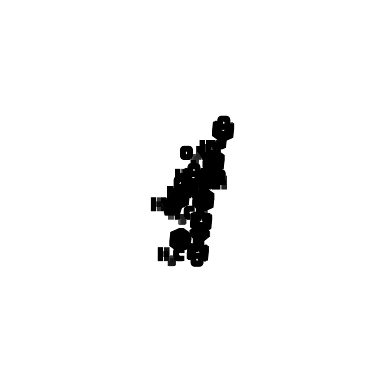 Cc1ccccc1[C@@H]1COCCN1C1CC2(CCN(c3ccc(C(=O)NS(=O)(=O)c4ccc(NCC5CCOCC5)c([N+](=O)[O-])c4)c(N4c5cc6cc[nH]c6nc5O[C@H]5COCC[C@@H]54)c3)[C@@H](C)C2)C1